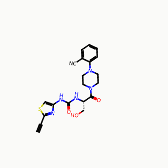 C#Cc1nc(NC(=O)N[C@@H](CO)C(=O)N2CCN(c3ccccc3C#N)CC2)cs1